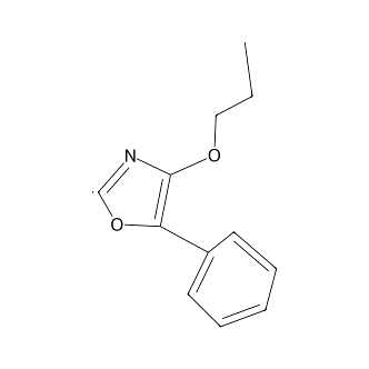 CCCOc1n[c]oc1-c1ccccc1